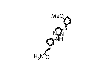 COc1cccc(Sc2ccnc(Nc3cccc(C=CC(N)=O)c3)n2)c1